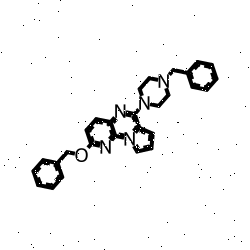 c1ccc(COc2ccc3nc(N4CCN(Cc5ccccc5)CC4)c4cccn4c3n2)cc1